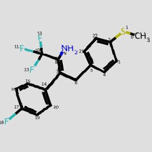 CSc1ccc(CC(=C(N)C(F)(F)F)c2ccc(F)cc2)cc1